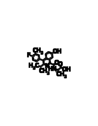 Cc1cc(-c2c(C(C)C)nc(C(=O)N[C@@H](C)C(=O)O)c3cc(O)ccc23)ccc1F